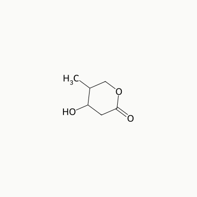 CC1COC(=O)CC1O